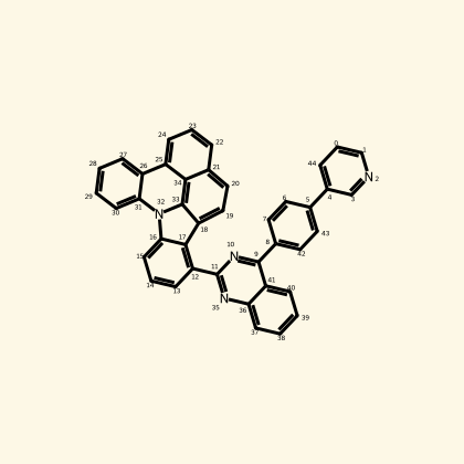 c1cncc(-c2ccc(-c3nc(-c4cccc5c4c4ccc6cccc7c8ccccc8n5c4c67)nc4ccccc34)cc2)c1